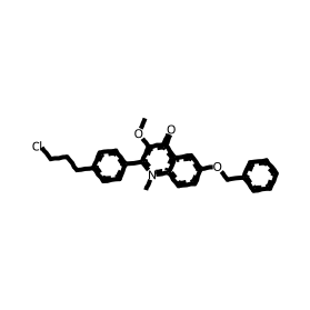 COc1c(-c2ccc(CCCCl)cc2)n(C)c2ccc(OCc3ccccc3)cc2c1=O